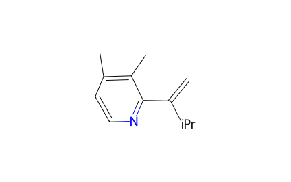 C=C(c1nccc(C)c1C)C(C)C